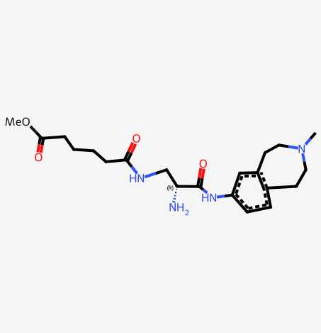 COC(=O)CCCCC(=O)NC[C@@H](N)C(=O)Nc1ccc2c(c1)CCN(C)CC2